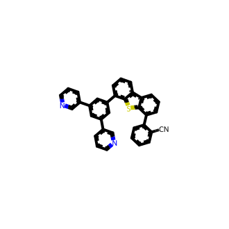 N#Cc1ccccc1-c1cccc2c1sc1c(-c3cc(-c4cccnc4)cc(-c4cccnc4)c3)cccc12